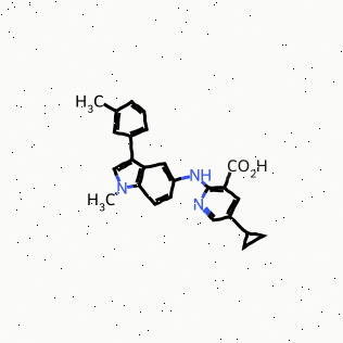 Cc1cccc(-c2cn(C)c3ccc(Nc4ncc(C5CC5)cc4C(=O)O)cc23)c1